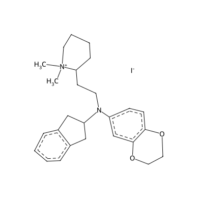 C[N+]1(C)CCCCC1CCN(c1ccc2c(c1)OCCO2)C1Cc2ccccc2C1.[I-]